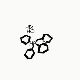 Br.Cl.c1ccc([PH](Cc2ccccn2)(c2ccccc2)c2ccccc2)cc1